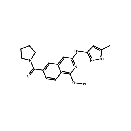 Cc1cc(Nc2cc3cc(C(=O)N4CCCC4)ccc3c(OC(C)C)n2)n[nH]1